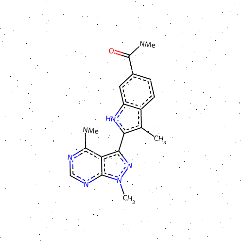 CNC(=O)c1ccc2c(C)c(-c3nn(C)c4ncnc(NC)c34)[nH]c2c1